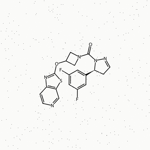 O=C(N1CC(Oc2nc3ccncc3s2)C1)N1N=CC[C@H]1c1cc(F)cc(F)c1